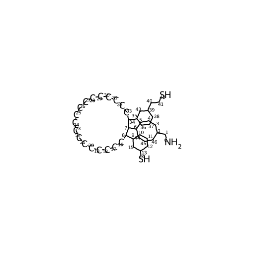 NCC1CCCC(C2C(C3CCCC(S)C3)CCCCCCCCCCCCCCCCCCC2C2CCCC(CCS)C2)CCC1